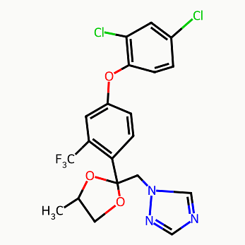 CC1COC(Cn2cncn2)(c2ccc(Oc3ccc(Cl)cc3Cl)cc2C(F)(F)F)O1